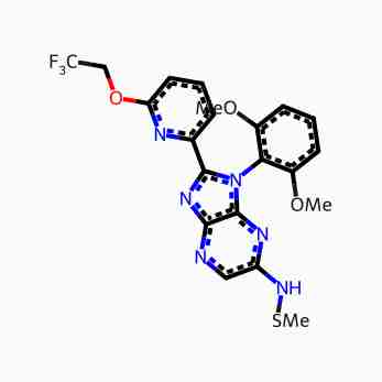 COc1cccc(OC)c1-n1c(-c2cccc(OCC(F)(F)F)n2)nc2ncc(NSC)nc21